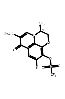 CCOC(=O)c1cn2c3c(c(OS(=O)(=O)C(F)(F)F)c(F)cc3c1=O)OC[C@@H]2C